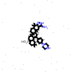 CC1(C)CCC2(C(=O)O)CCC3(C)C(=C(c4ccc(N5CCNCC5)cc4)CC4C5(C)Cc6c(n[nH]c6N)C(C)(C)C5CCC43C)C2C1